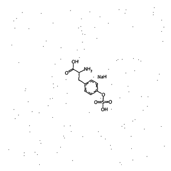 NC(Cc1ccc(OS(=O)(=O)O)cc1)C(=O)O.[NaH]